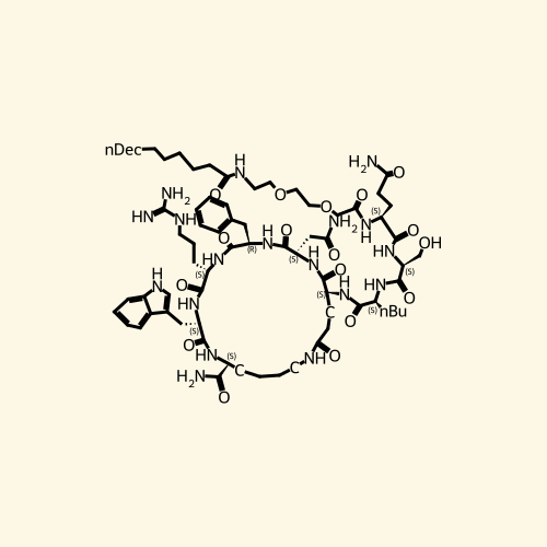 CCCCCCCCCCCCCCCC(=O)NCCOCCOCC(=O)N[C@@H](CCC(N)=O)C(=O)N[C@@H](CO)C(=O)N[C@@H](CCCC)C(=O)N[C@H]1CCC(=O)NCCCC[C@@H](C(N)=O)NC(=O)[C@H](Cc2c[nH]c3ccccc23)NC(=O)[C@H](CCCNC(=N)N)NC(=O)[C@@H](Cc2ccccc2)NC(=O)[C@H](CC(N)=O)NC1=O